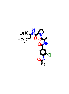 CCC(=O)Nc1ccc(C(=O)NC(C)C(=O)N2CCCC2C(=O)NC(C=O)CC(=O)O)cc1Cl